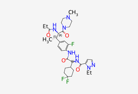 CCC(=O)N[C@@H](C(=O)N1CCN(C)CC1)[C@@H](C)c1ccc(NC(=O)[C@@H](NC(=O)c2ccnn2CC)C2CCC(F)(F)CC2)c(F)c1